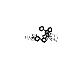 CC1=Cc2c(-c3ccc(C(C)(C)C)cc3)cccc2[CH]1[Zr]([Cl])([Cl])([CH]1C=C(c2ccccc2)c2ccccc21)[SiH](C)C